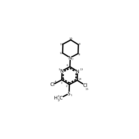 CSc1c(Cl)nc(N2CCCCC2)nc1Cl